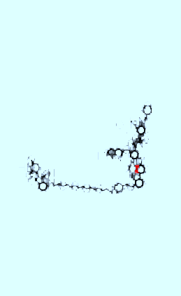 O=C1CCC(N2C(=O)c3cccc(NCCOCCOCCOCCOCCCN4CCC(COc5cccc(-c6ccc(Cl)cc6)c5CN5CCN(c6ccc(C(=O)NS(=O)(=O)c7ccc(NCC8CCOCC8)c([N+](=O)[O-])c7)c(Oc7cnc8[nH]ccc8c7)c6)CC5)CC4)c3C2=O)C(=O)N1